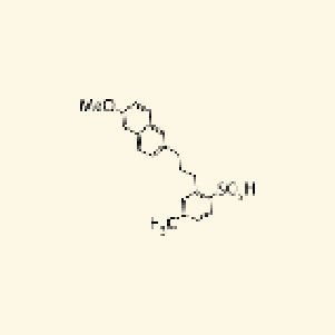 COc1ccc2cc(CCCc3cc(C)ccc3S(=O)(=O)O)ccc2c1